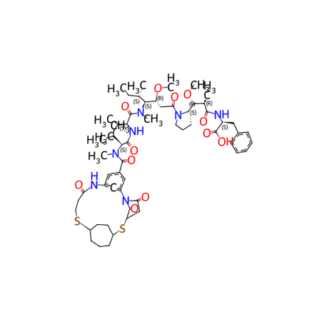 CC[C@H](C)[C@@H]([C@@H](CC(=O)N1CCC[C@H]1[C@H](OC)[C@@H](C)C(=O)N[C@@H](Cc1ccccc1)C(=O)O)OC)N(C)C(=O)[C@@H](NC(=O)[C@H](C(C)C)N(C)C(=O)c1cc2cc(c1)N1C(=O)CC(SC3CCCC(CC3)SCCC(=O)N2)C1=O)C(C)C